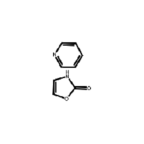 O=c1[nH]cco1.c1ccncc1